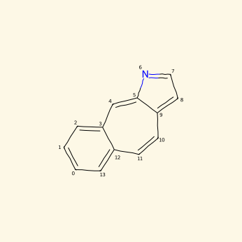 c1ccc2cc3nccc-3ccc2c1